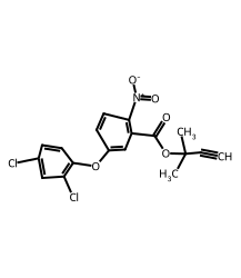 C#CC(C)(C)OC(=O)c1cc(Oc2ccc(Cl)cc2Cl)ccc1[N+](=O)[O-]